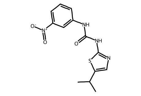 CC(C)c1cnc(NC(=O)Nc2cccc([N+](=O)[O-])c2)s1